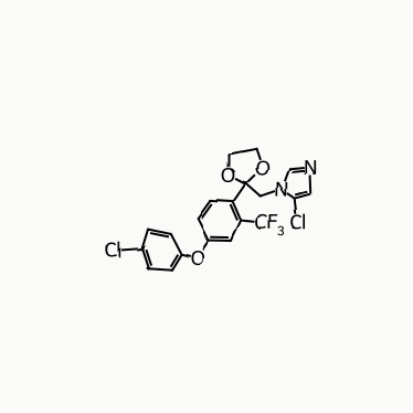 FC(F)(F)c1cc(Oc2ccc(Cl)cc2)ccc1C1(Cn2cncc2Cl)OCCO1